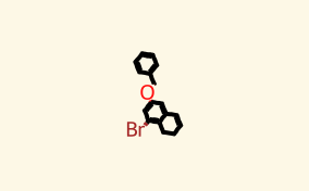 Brc1cc(OCc2ccccc2)cc2c1CCC=C2